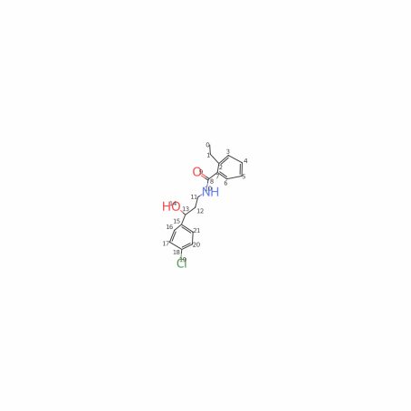 CCc1ccccc1C(=O)NCCC(O)c1ccc(Cl)cc1